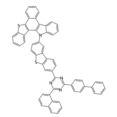 c1ccc(-c2ccc(-c3nc(-c4ccc5c(c4)sc4ccc(-n6c7ccccc7c7c8ccccc8c8sc9ccccc9c8c76)cc45)nc(-c4cccc5ccccc45)n3)cc2)cc1